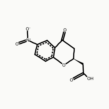 O=C(O)C[C@@H]1CC(=O)c2cc([N+](=O)[O-])ccc2O1